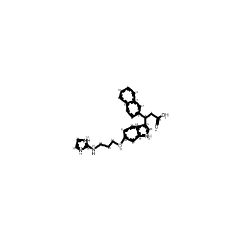 O=C(O)CC(c1ccc2ccccc2c1)c1c[nH]c2cc(OCCCNc3ncc[nH]3)ccc12